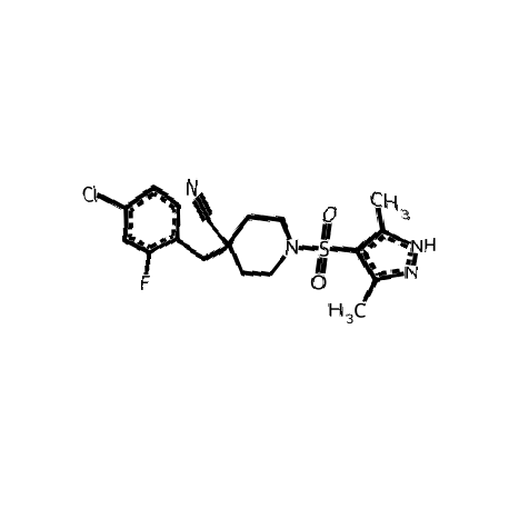 Cc1n[nH]c(C)c1S(=O)(=O)N1CCC(C#N)(Cc2ccc(Cl)cc2F)CC1